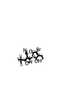 CCC1=C(Br)C(=O)N(c2noc(C(C)(C)C)c2C#N)C1O